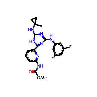 COC(=O)Nc1cccc(C2=NC(Nc3cc(F)cc(F)c3)=NC(NC3(C)CC3)N2)n1